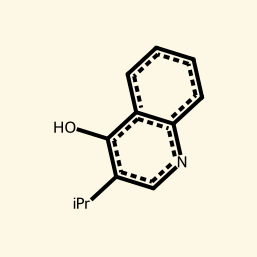 CC(C)c1cnc2ccccc2c1O